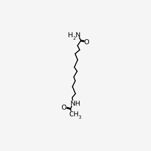 CC(=O)NCCCCCCCCCCCC(N)=O